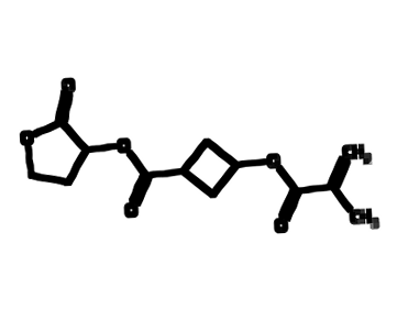 C=C(C)C(=O)OC1CC(C(=O)OC2CCOC2=O)C1